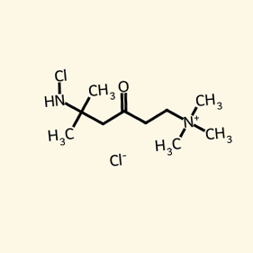 CC(C)(CC(=O)CC[N+](C)(C)C)NCl.[Cl-]